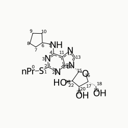 CCCSc1nc(NC2CCCC2)c2ncn([C@@H]3O[C@H](CO)[C@@H](O)[C@H]3O)c2n1